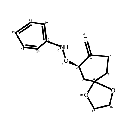 O=C1CCC2(C[C@H]1ONc1ccccc1)OCCO2